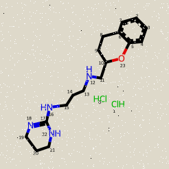 Cl.Cl.c1ccc2c(c1)CCC(CNCCCNC1=NCCCN1)O2